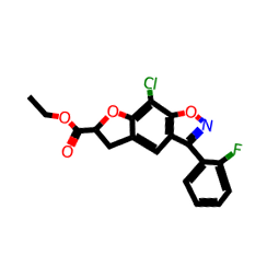 CCOC(=O)C1Cc2cc3c(-c4ccccc4F)noc3c(Cl)c2O1